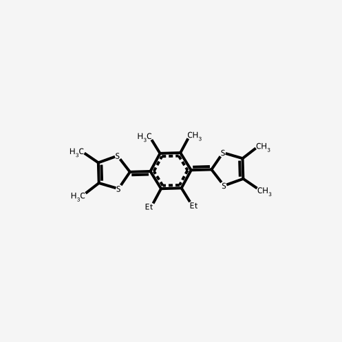 CCc1c(CC)c(=C2SC(C)=C(C)S2)c(C)c(C)c1=C1SC(C)=C(C)S1